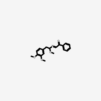 COc1ccc(CC(N=CC(=O)c2ccccc2)OC)cc1OC